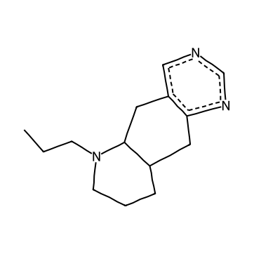 CCCN1CCCC2Cc3ncncc3CC21